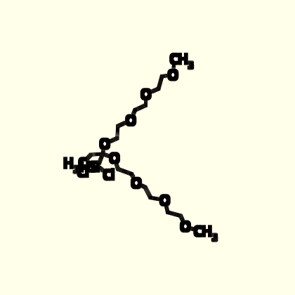 CCC(OCCOCCOCCOC)(OCCOCCOCCOC)[SiH](Cl)Cl